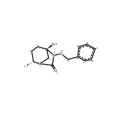 O=C1N2C[C@H](CC[C@H]2I)N1OCc1ccccc1